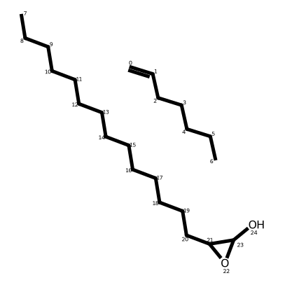 C=CCCCCC.CCCCCCCCCCCCCCC1OC1O